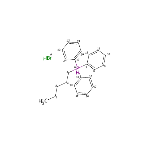 Br.CCCCC[PH](c1ccccc1)(c1ccccc1)c1ccccc1